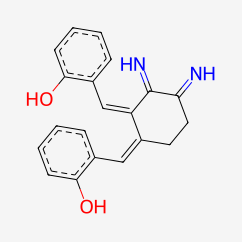 N=C1CCC(=Cc2ccccc2O)C(=Cc2ccccc2O)C1=N